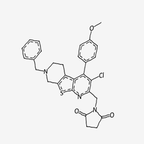 COc1ccc(-c2c(Cl)c(CN3C(=O)CCC3=O)nc3sc4c(c23)CCN(Cc2ccccc2)C4)cc1